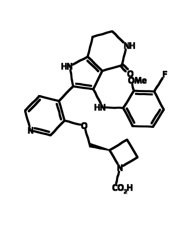 COc1c(F)cccc1Nc1c(-c2ccncc2OC[C@H]2CCN2C(=O)O)[nH]c2c1C(=O)NCC2